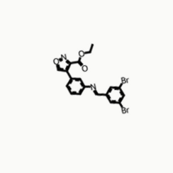 CCOC(=O)c1nocc1-c1cccc(N=Cc2cc(Br)cc(Br)c2)c1